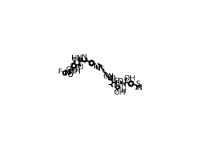 Cc1ncsc1-c1ccc(C(CO)NC(=O)[C@@H]2C[C@@H](O)CN2C(=O)C(c2cc(OCCCN3CCN(c4ccc(-c5cnc6[nH]cc(C(=O)c7c(F)ccc(NS(=O)(=O)N8CC[C@@H](F)C8)c7F)c6c5)cc4)CC3)no2)C(C)C)cc1